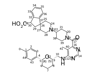 Cc1ccc([C@H]2CCC[C@@H](CNc3ncnc(C(=O)N4CCC(N5CCC6(CC5)CC(C(=O)O)c5ccccc56)CC4)c3C)O2)cc1